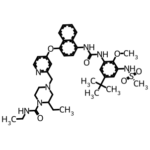 CCNC(=O)N1CCN(Cc2cc(Oc3ccc(NC(=O)Nc4cc(C(C)(C)C)cc(NS(C)(=O)=O)c4OC)c4ccccc34)ccn2)CC1CC